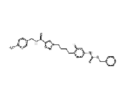 Cc1ccc(CNC(=O)c2cn(CCCCn3ccc(NC(=O)OCc4ccccc4)cc3=O)nn2)cn1